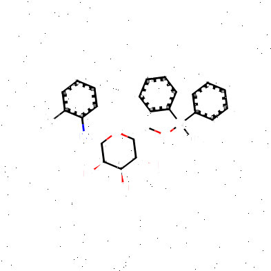 CC(C)(C)[Si](OC[C@H]1O[C@@H](Nc2ccccc2[N+](=O)[O-])[C@H](O)[C@H](O)[C@H]1O)(c1ccccc1)c1ccccc1